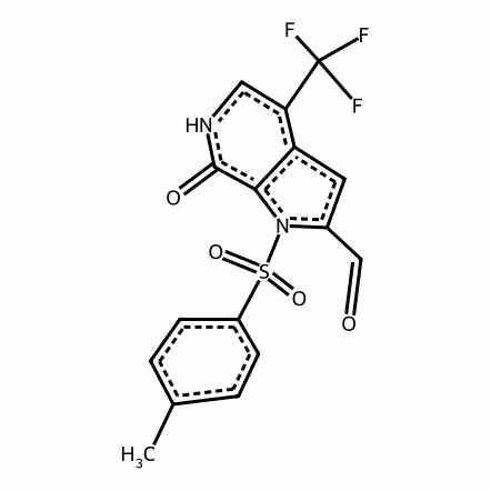 Cc1ccc(S(=O)(=O)n2c(C=O)cc3c(C(F)(F)F)c[nH]c(=O)c32)cc1